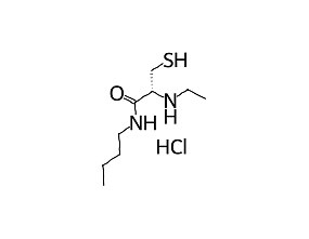 CCCCNC(=O)[C@H](CS)NCC.Cl